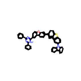 C1=c2sc3ccc(-n4c5ccccc5c5ccccc54)cc3c2=CC(c2ccc3c(c2)oc2ccc(C4N=C(c5ccccc5)N=C(c5ccccc5)N4)cc23)C1